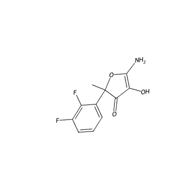 CC1(c2cccc(F)c2F)OC(N)=C(O)C1=O